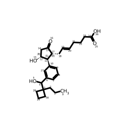 CCCC1(C(O)c2cccc([C@H]3[C@H](O)CC(=O)[C@@H]3CC=CCCCC(=O)O)c2)CCC1